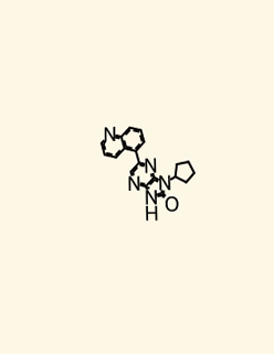 O=c1[nH]c2ncc(-c3cccc4ncccc34)nc2n1C1CCCC1